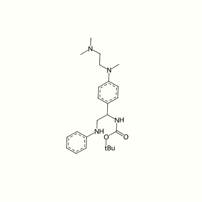 CN(C)CCN(C)c1ccc(C(CNc2ccccc2)NC(=O)OC(C)(C)C)cc1